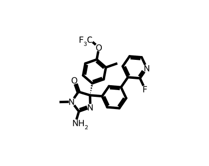 Cc1cc([C@]2(c3cccc(-c4cccnc4F)c3)N=C(N)N(C)C2=O)ccc1OC(F)(F)F